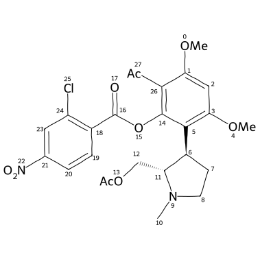 COc1cc(OC)c([C@H]2CCN(C)[C@@H]2COC(C)=O)c(OC(=O)c2ccc([N+](=O)[O-])cc2Cl)c1C(C)=O